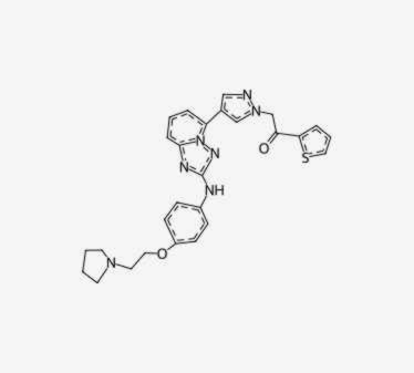 O=C(Cn1cc(-c2cccc3nc(Nc4ccc(OCCN5CCCC5)cc4)nn23)cn1)c1cccs1